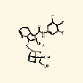 Cn1c(C(=O)Nc2cc(F)c(F)c(F)c2)c2cccnc2c1SN1C2CCC23C1CC3(O)CO